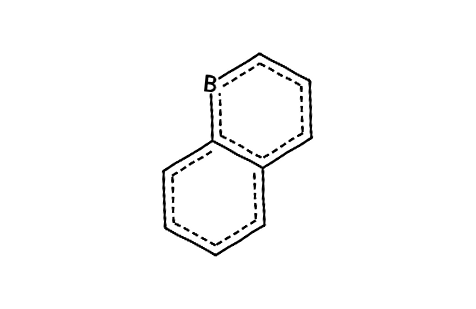 b1cccc2ccccc12